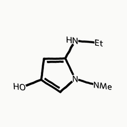 CCNc1cc(O)cn1NC